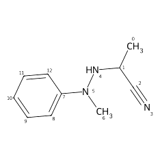 CC(C#N)NN(C)c1ccccc1